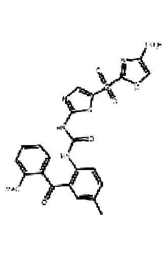 COc1ccccc1C(=O)c1cc(C)ccc1NC(=O)Nc1ncc(S(=O)(=O)c2nc(C(=O)O)c[nH]2)s1